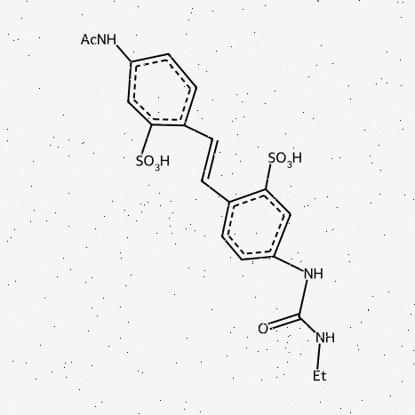 CCNC(=O)Nc1ccc(C=Cc2ccc(NC(C)=O)cc2S(=O)(=O)O)c(S(=O)(=O)O)c1